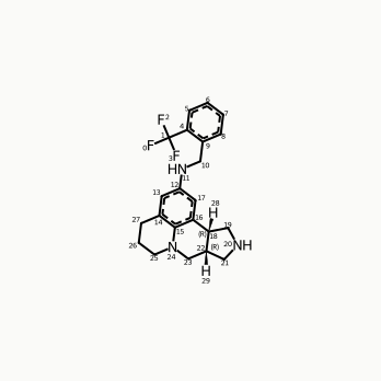 FC(F)(F)c1ccccc1CNc1cc2c3c(c1)[C@@H]1CNC[C@@H]1CN3CCC2